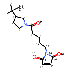 CCC(C)(C)C1CCN(C(=O)CCCCN2C(=O)C=CC2=O)C1